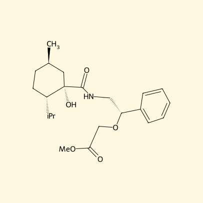 COC(=O)CO[C@H](CNC(=O)[C@]1(O)C[C@H](C)CC[C@H]1C(C)C)c1ccccc1